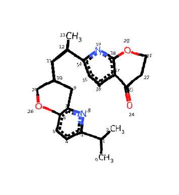 CC(C)c1ccc2c(n1)CC(CC(C)c1ccc3c(n1)OCCC3=O)CO2